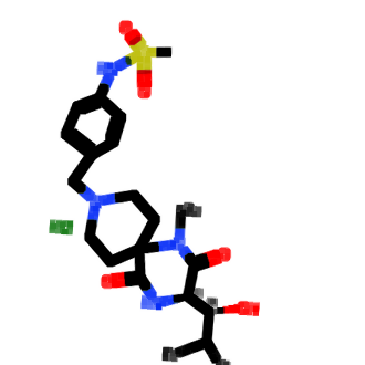 CCCCN1C(=O)[C@@H]([C@H](O)C(CC)CC)NC(=O)C12CCN(Cc1ccc(NS(C)(=O)=O)cc1)CC2.Cl